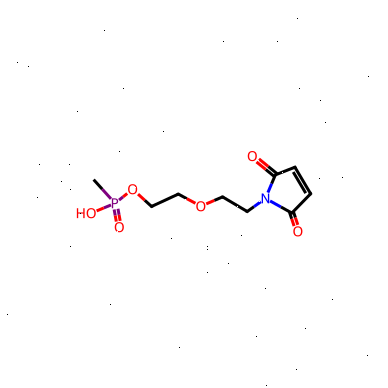 CP(=O)(O)OCCOCCN1C(=O)C=CC1=O